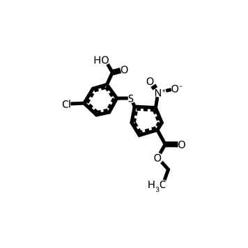 CCOC(=O)c1ccc(Sc2ccc(Cl)cc2C(=O)O)c([N+](=O)[O-])c1